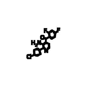 Nc1c(C(=O)c2ccc(F)cc2F)ccnc1-c1ccc(Cl)cc1